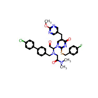 COc1ncc(Cc2cn(C(C=O)N(CC(=O)N(C)C)Cc3ccc(-c4ccc(Cl)cc4)cc3)c(SCc3ccc(F)cc3)nc2=O)cn1